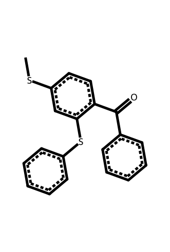 CSc1ccc(C(=O)c2ccccc2)c(Sc2ccccc2)c1